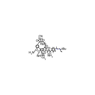 C=C/C(=C\C=C(/C)c1nc(C)c(C(=O)N[C@@H](CCN)C(=O)N(C)[C@@H]2C(=O)N[C@@H](C)C(=O)N[C@H](C(=O)NCC#N)Cc3ccc(OCCN)c(c3)-c3cc2cc(NC(N)=O)c3OCCN)c(C)n1)C(C)(C)C